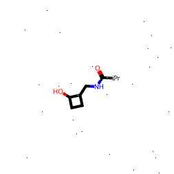 CC(C)C(=O)NCC1CCC1O